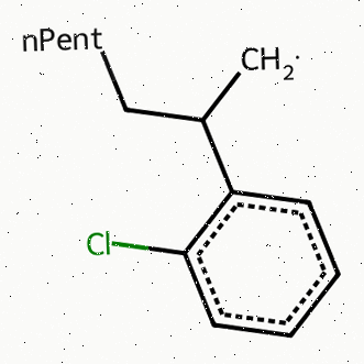 [CH2]C(CCCCCC)c1ccccc1Cl